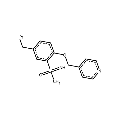 CC(C)Cc1ccc(OCc2ccncc2)c(S(C)(=N)=O)c1